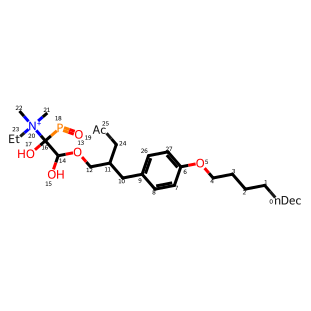 CCCCCCCCCCCCCCOc1ccc(CC(COC(O)C(O)(P=O)[N+](C)(C)CC)CC(C)=O)cc1